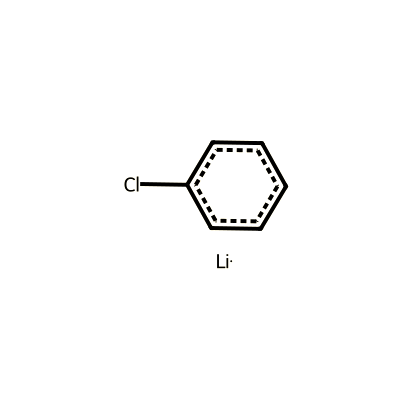 Clc1ccccc1.[Li]